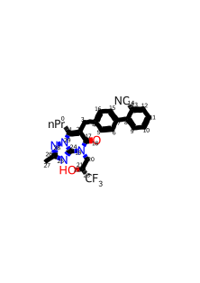 CCCc1c(Cc2ccc(-c3ccccc3C#N)cc2)c(=O)n(CC(O)C(F)(F)F)c2nc(C)nn12